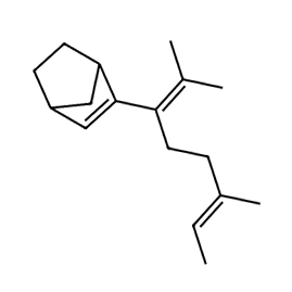 CC=C(C)CCC(C1=CC2CCC1C2)=C(C)C